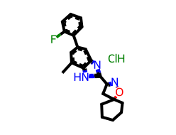 Cc1cc(-c2ccccc2F)cc2nc(C3=NOC4(CCCCC4)C3)[nH]c12.Cl